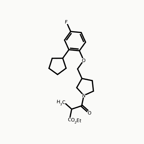 CCOC(=O)C(C)C(=O)N1CCC(COc2ccc(F)cc2C2CCCC2)C1